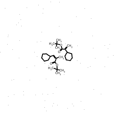 C=C(C(=O)OC(C)(C)C)C1CCCCC1.CC(=CC1CCCCC1)C(=O)OC(C)(C)C